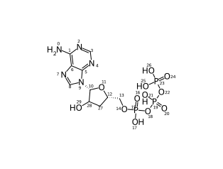 Nc1ncnc2c1ncn2[C@@H]1O[C@H](COP(=O)(O)OP(=O)(O)OP(=O)(O)O)CC1O